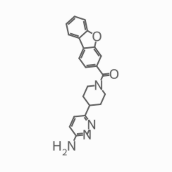 Nc1ccc(C2CCN(C(=O)c3ccc4c(c3)oc3ccccc34)CC2)nn1